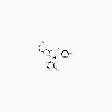 COC1C2OP(=O)([O-])OCC2OC1n1c(Sc2ccc(Cl)cc2)nc2c(N)ncnc21.[Na+]